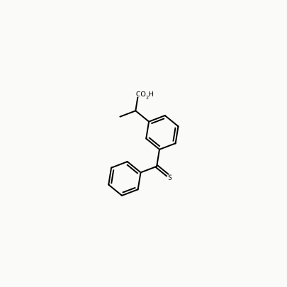 CC(C(=O)O)c1cccc(C(=S)c2ccccc2)c1